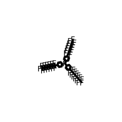 FC(F)(F)C(F)(F)C(F)(F)C(F)(F)C(F)(F)C(F)(F)c1ccc(P(c2ccc(C(F)(F)C(F)(F)C(F)(F)C(F)(F)C(F)(F)C(F)(F)F)cc2)c2ccc(C(F)(F)C(F)(F)C(F)(F)C(F)(F)C(F)(F)C(F)(F)F)cc2)cc1